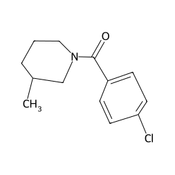 CC1CCCN(C(=O)c2ccc(Cl)cc2)C1